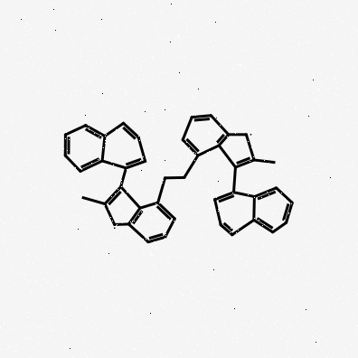 CC1=C(c2cccc3ccccc23)c2c(cccc2CCc2cccc3c2C(c2cccc4ccccc24)=C(C)[CH]3)[CH]1